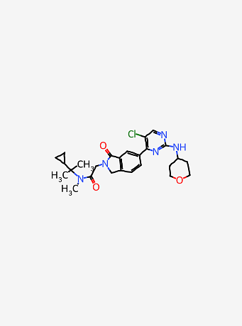 CN(C(=O)CN1Cc2ccc(-c3nc(NC4CCOCC4)ncc3Cl)cc2C1=O)C(C)(C)C1CC1